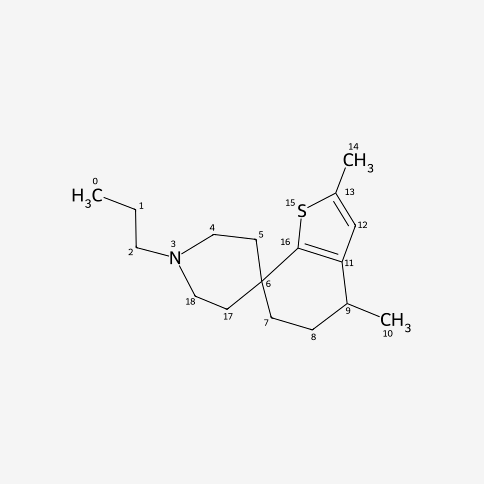 CCCN1CCC2(CCC(C)c3cc(C)sc32)CC1